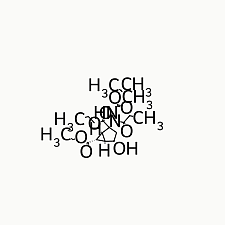 CCOC(=O)[C@H]1[C@H]2[C@@H]1[C@@](C(=O)OCC)(N(NC(=O)OC(C)(C)C)C(=O)CC)C[C@@H]2O